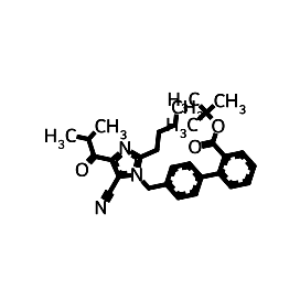 CCCCc1nc(C(=O)C(C)C)c(C#N)n1Cc1ccc(-c2ccccc2C(=O)OC(C)(C)C)cc1